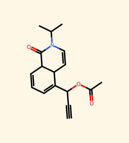 C#CC(OC(C)=O)C1=CC=CC2C(=O)N(C(C)C)C=CC12